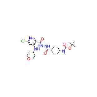 CN(C(=O)OC(C)(C)C)C1CCC(C(=O)NNC(=O)c2cnc(Cl)cc2NC2CCOCC2)CC1